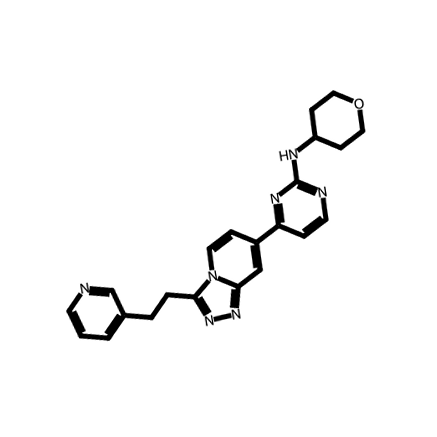 c1cncc(CCc2nnc3cc(-c4ccnc(NC5CCOCC5)n4)ccn23)c1